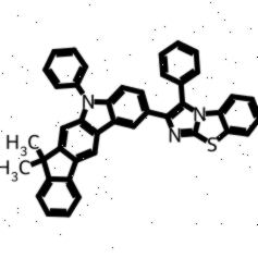 CC1(C)c2ccccc2-c2cc3c4cc(-c5nc6sc7ccccc7n6c5-c5ccccc5)ccc4n(-c4ccccc4)c3cc21